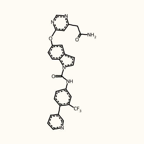 NC(=O)Cc1cc(Oc2ccc3c(ccn3C(=O)Nc3ccc(-c4cccnc4)c(C(F)(F)F)c3)c2)ncn1